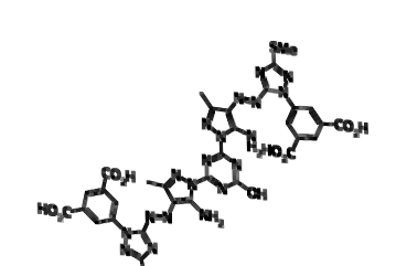 CSc1nc(N=Nc2c(C)nn(-c3nc(O)nc(-n4nc(C)c(N=Nc5nc(SC)nn5-c5cc(C(=O)O)cc(C(=O)O)c5)c4N)n3)c2N)n(-c2cc(C(=O)O)cc(C(=O)O)c2)n1